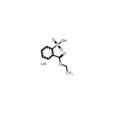 CCOC(=O)c1ccccc1S(=O)(=O)O.[LiH]